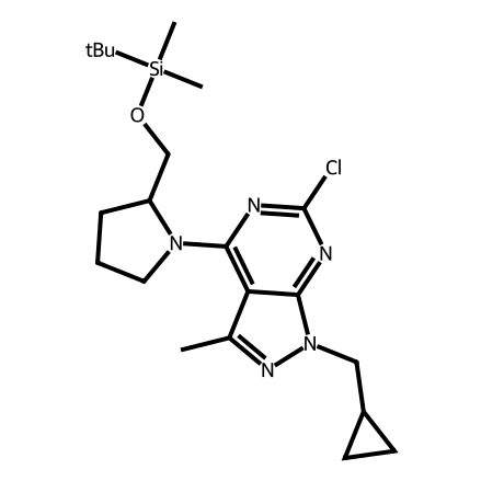 Cc1nn(CC2CC2)c2nc(Cl)nc(N3CCCC3CO[Si](C)(C)C(C)(C)C)c12